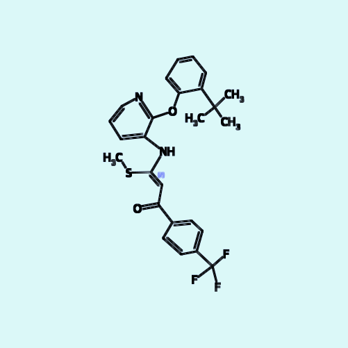 CS/C(=C\C(=O)c1ccc(C(F)(F)F)cc1)Nc1cccnc1Oc1ccccc1C(C)(C)C